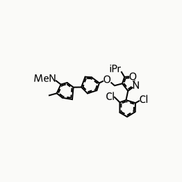 CNc1cc(-c2ccc(OCc3c(-c4c(Cl)cccc4Cl)noc3C(C)C)cc2)ccc1C